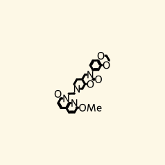 COc1ccc2ccc(=O)n(CCN3CCC4CN(c5ccc6c(c5)OCCO6)C(=O)OC4C3)c2n1